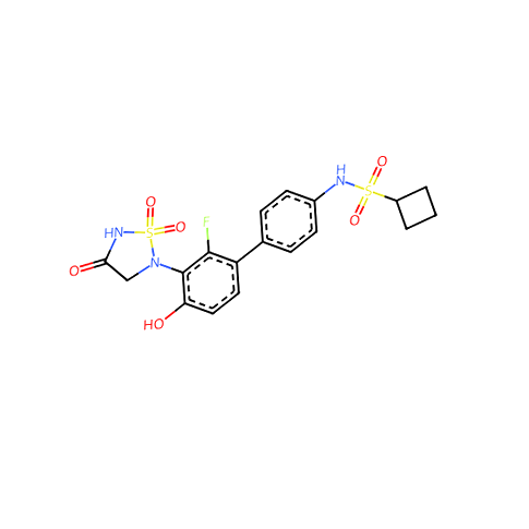 O=C1CN(c2c(O)ccc(-c3ccc(NS(=O)(=O)C4CCC4)cc3)c2F)S(=O)(=O)N1